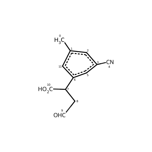 Cc1cc(C#N)cc(C(CC=O)C(=O)O)c1